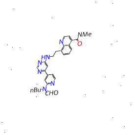 CCCCN(C=O)c1cc(-c2cc(NCCc3cccc4c(C(=O)NC)ccnc34)ncn2)ccn1